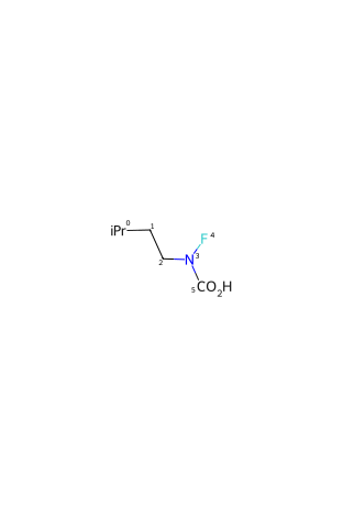 CC(C)CCN(F)C(=O)O